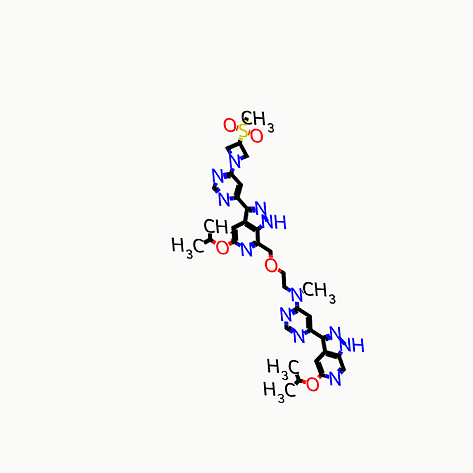 CC(C)Oc1cc2c(-c3cc(N(C)CCOCc4nc(OC(C)C)cc5c(-c6cc(N7CC(S(C)(=O)=O)C7)ncn6)n[nH]c45)ncn3)n[nH]c2cn1